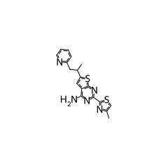 Cc1csc(-c2nc(N)c3cc(C(C)Cc4ccccn4)sc3n2)n1